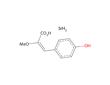 COC(=Cc1ccc(O)cc1)C(=O)O.[SrH2]